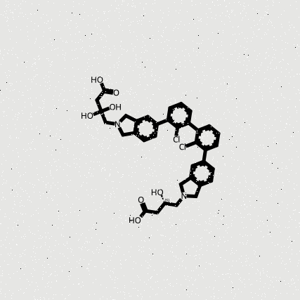 O=C(O)C[C@H](O)CN1Cc2ccc(-c3cccc(-c4cccc(-c5ccc6c(c5)CN(CC(O)(O)CC(=O)O)C6)c4Cl)c3Cl)cc2C1